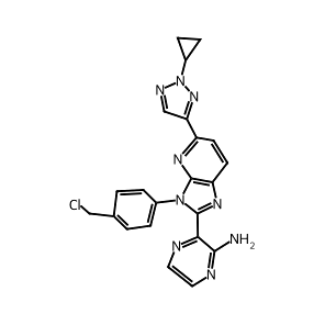 Nc1nccnc1-c1nc2ccc(-c3cnn(C4CC4)n3)nc2n1-c1ccc(CCl)cc1